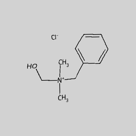 C[N+](C)(CO)Cc1ccccc1.[Cl-]